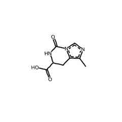 Cc1ncn2c1CC(C(=O)O)NC2=O